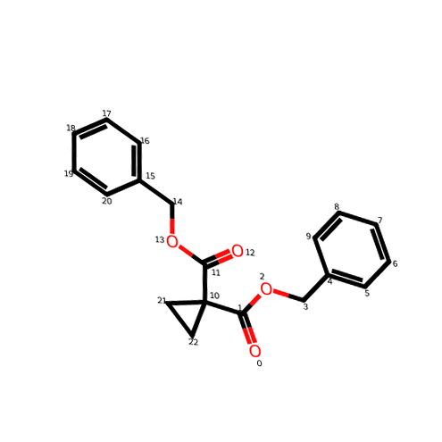 O=C(OCc1ccccc1)C1(C(=O)OCc2ccccc2)CC1